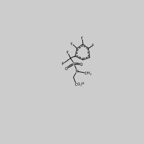 CN(CC(=O)O)S(=O)(=O)C(F)(F)c1ccc(F)c(F)c1F